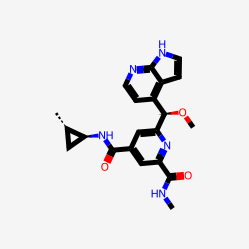 CNC(=O)c1cc(C(=O)N[C@H]2C[C@@H]2C)cc([C@H](OC)c2ccnc3[nH]ccc23)n1